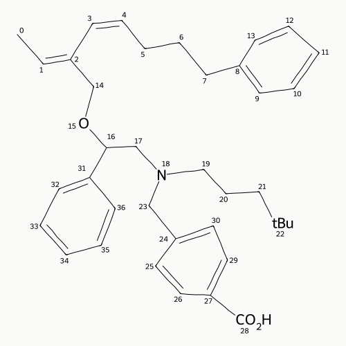 C/C=C(\C=C/CCCc1ccccc1)COC(CN(CCCC(C)(C)C)Cc1ccc(C(=O)O)cc1)c1ccccc1